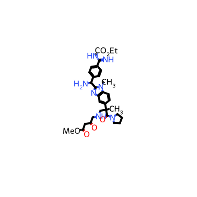 CCOC(=O)NC(=N)c1ccc(C(N)c2nc3cc(C(C)(CNCC(=O)CC(=O)OC)C(=O)N4CCCC4)ccc3n2C)cc1